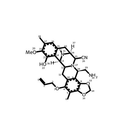 C=CCOc1c(C)c2c(c3c1CC1[C@H]4c5c(cc(C)c(OC)c5O)C[C@@H](C(C#N)N1[C@H]3CN)N4C)OCO2